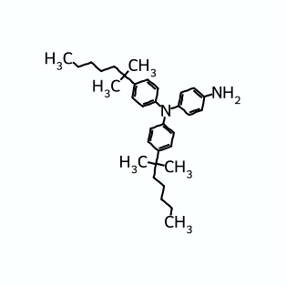 CCCCCC(C)(C)c1ccc(N(c2ccc(N)cc2)c2ccc(C(C)(C)CCCCC)cc2)cc1